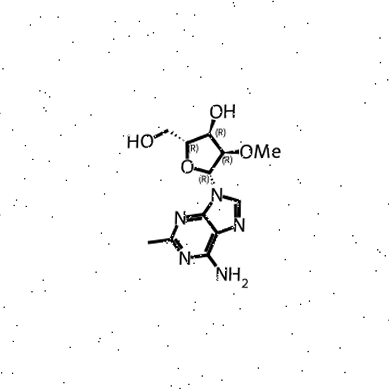 CO[C@@H]1[C@H](O)[C@@H](CO)O[C@H]1n1cnc2c(N)nc(C)nc21